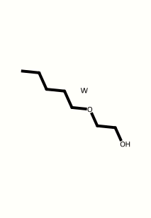 CCCCCOCCO.[W]